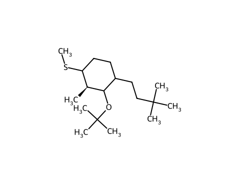 CSC1CCC(CCC(C)(C)C)C(OC(C)(C)C)[C@H]1C